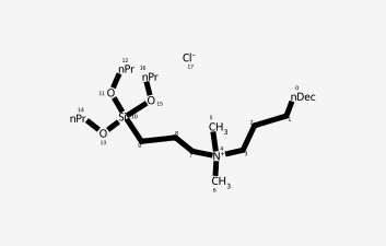 CCCCCCCCCCCCC[N+](C)(C)CCC[Si](OCCC)(OCCC)OCCC.[Cl-]